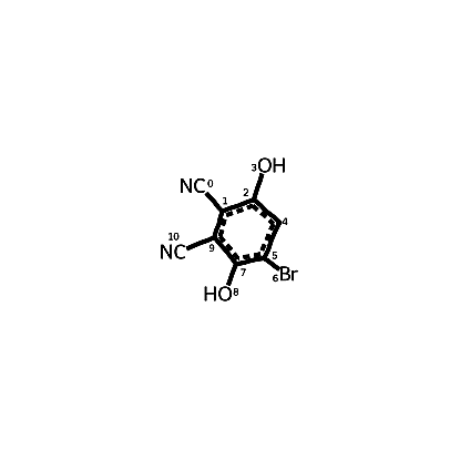 N#Cc1c(O)cc(Br)c(O)c1C#N